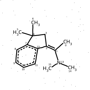 C/C(=C1\CC(C)(C)c2ccccc21)N(C)C